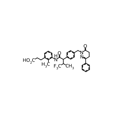 Cc1c(CCC(=O)O)cccc1NC(=O)C(c1ccc(CN2N=C(c3ccccc3)CCC2=O)cc1)C(C)C(F)(F)F